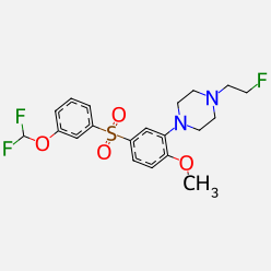 COc1ccc(S(=O)(=O)c2cccc(OC(F)F)c2)cc1N1CCN(CCF)CC1